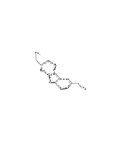 CCc1ccc2sc3nc(CC)cnc3c2c1